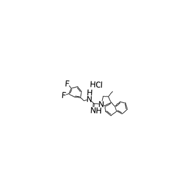 CC1CN(C(=N)NCc2ccc(F)c(F)c2)c2ccc3ccccc3c21.Cl